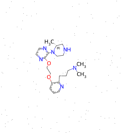 C[C@@H]1CNCCN1c1nccnc1OCCOc1cccnc1CCCN(C)C